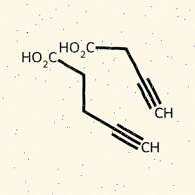 C#CCC(=O)O.C#CCCC(=O)O